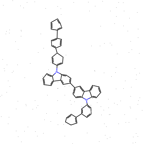 C1=CC(c2cccc(-n3c4ccccc4c4cc(-c5ccc6c(c5)c5ccccc5n6C5=CCC(c6ccc(-c7ccccc7)cc6)C=C5)ccc43)c2)=CCC1